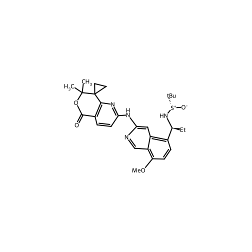 CC[C@H](N[S@@+]([O-])C(C)(C)C)c1ccc(OC)c2cnc(Nc3ccc4c(n3)C3(CC3)C(C)(C)OC4=O)cc12